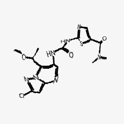 CO[C@@H](C)c1c(NC(=O)Nc2ncc(C(=O)N(C)C)s2)cnc2cc(Cl)nn12